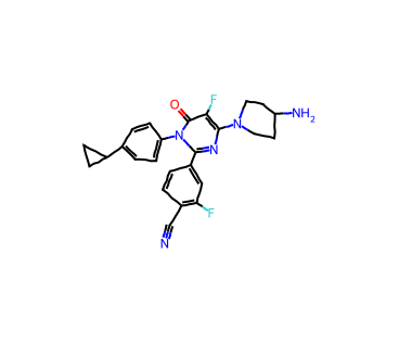 N#Cc1ccc(-c2nc(N3CCC(N)CC3)c(F)c(=O)n2-c2ccc(C3CC3)cc2)cc1F